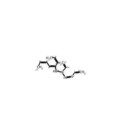 C=C/N=N\N(BC(/C=C\C)=C/C=C\C)C=C